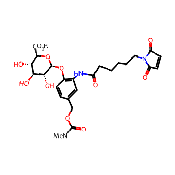 CNC(=O)OCc1ccc(O[C@@H]2O[C@H](C(=O)O)[C@@H](O)[C@H](O)[C@H]2O)c(NC(=O)CCCCCN2C(=O)C=CC2=O)c1